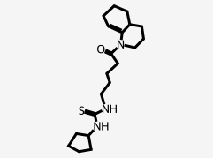 O=C(CCCCNC(=S)NC1CCCC1)N1CCCC2CCCC=C21